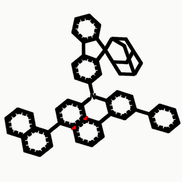 c1ccc(-c2ccc(N(c3ccc(-c4cccc5ccccc45)cc3)c3ccc4c(c3)C3(c5ccccc5-4)C4CC5CC(C4)CC3C5)c(-c3ccccc3)c2)cc1